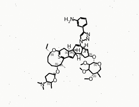 CC[C@H]1CCC[C@H](O[C@H]2CC[C@H](N(C)C)C(C)O2)[C@@H](C)C2=S=C(C[C@@H]3C2=C[C@@H]2[C@H]3C=C(n3cc(-c4cccc(N)c4)nn3)[C@@H]3C[C@@H](O[C@@H]4OCC(C)[C@H](OC)C(OC)C4OC)C[C@@H]23)O1